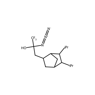 CC(C)C1C2CC(CC(O)(N=[N+]=[N-])C(F)(F)F)C(C2)C1C(C)C